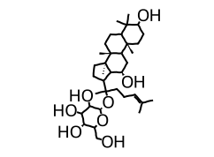 CC(C)=CCCC(C)(O[C@@H]1OC(CO)[C@@H](O)C(O)C1O)C1CC[C@]2(C)C1[C@H](O)CC1[C@@]3(C)CCC(O)C(C)(C)C3CC[C@]12C